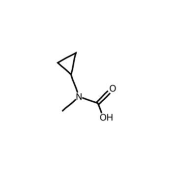 CN(C(=O)O)C1CC1